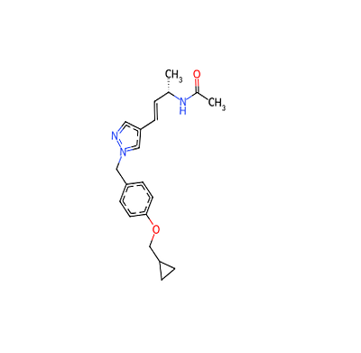 CC(=O)N[C@@H](C)/C=C/c1cnn(Cc2ccc(OCC3CC3)cc2)c1